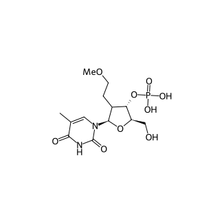 COCCC1[C@H](n2cc(C)c(=O)[nH]c2=O)O[C@H](CO)[C@H]1OP(=O)(O)O